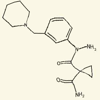 NC(=O)C1(C(=O)N(N)c2cccc(CN3CCCCC3)c2)CC1